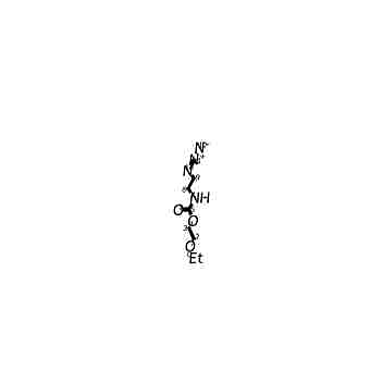 CCOCCOC(=O)NCCN=[N+]=[N-]